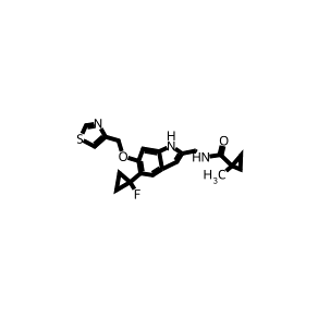 CC1(C(=O)NCc2cc3cc(C4(F)CC4)c(OCc4cscn4)cc3[nH]2)CC1